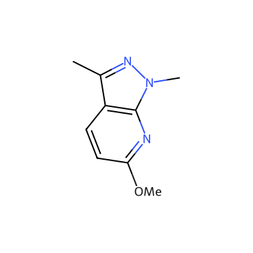 COc1ccc2c(C)nn(C)c2n1